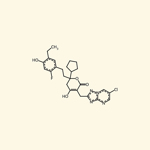 CCc1cc(CCC2(C3CCCC3)CC(O)=C(Cc3nc4ncc(Cl)cn4n3)C(=O)O2)c(F)cc1O